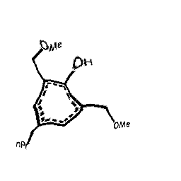 CCCc1cc(COC)c(O)c(COC)c1